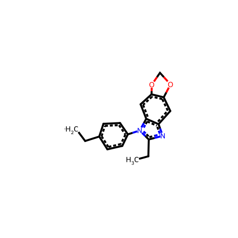 [CH2]Cc1ccc(-n2c(CC)nc3cc4c(cc32)OCO4)cc1